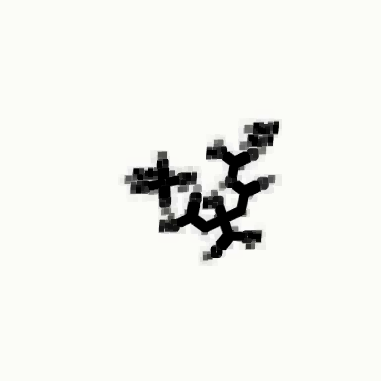 O=C(O)CC(O)(CC(=O)OC(=O)O)C(=O)O.O=S(=O)(O)O.[NaH].[NaH].[NaH]